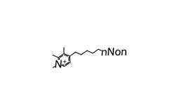 CCCCCCCCCCCCCCc1cc[n+](C)c(C)c1C